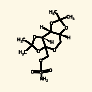 CC1(C)O[C@@H]2[C@@H](COC3(COS(N)(=O)=O)OC(C)(C)O[C@@H]23)O1